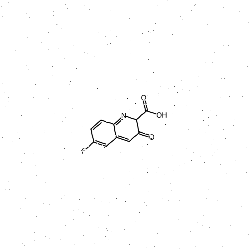 O=C(O)C1N=c2ccc(F)cc2=CC1=O